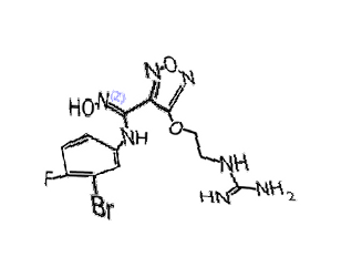 N=C(N)NCCOc1nonc1/C(=N/O)Nc1ccc(F)c(Br)c1